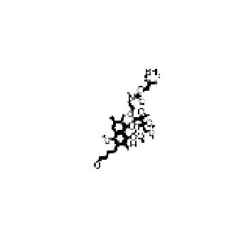 BSC(C)COC(=O)N(C)CCOC(Oc1c(C)c(C)cc2c(OC)c(CCCC=O)c(C)c(O)c12)C1(C(OC)(OC)C(OC)OC)CO1